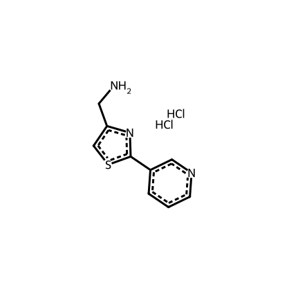 Cl.Cl.NCc1csc(-c2cccnc2)n1